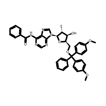 COc1ccc(C(OC[C@H]2O[C@@H](n3cnc4c(NC(=O)c5ccccc5)ncnc43)[C@H](F)[C@H]2O)(c2ccccc2)c2ccc(OC)cc2)cc1